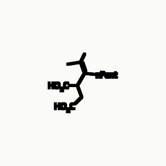 CCCCCC(=C(C)C)C(CC(=O)O)C(=O)O